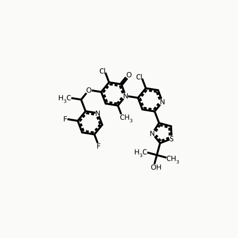 Cc1cc(OC(C)c2ncc(F)cc2F)c(Cl)c(=O)n1-c1cc(-c2csc(C(C)(C)O)n2)ncc1Cl